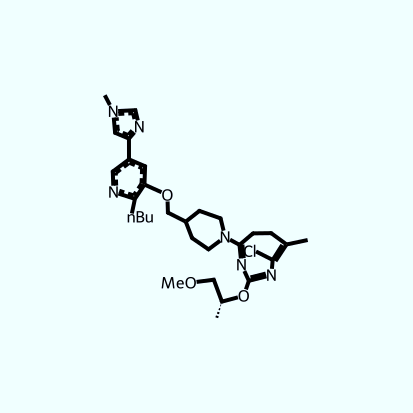 CCCCc1ncc(-c2cn(C)cn2)cc1OCC1CCN(/C2=N/C(O[C@H](C)COC)=N\C(Cl)=C(/C)CC2)CC1